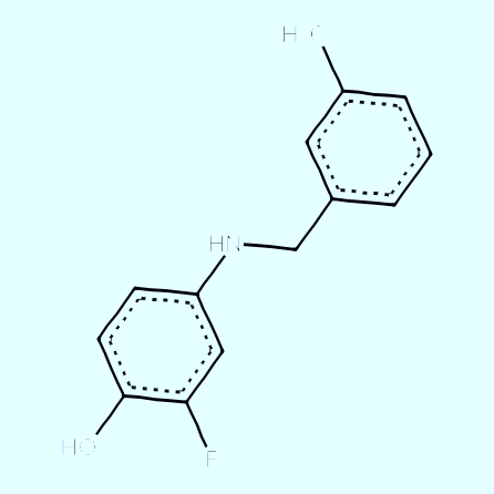 Cc1cccc(CNc2ccc(O)c(F)c2)c1